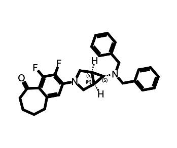 O=C1CCCCc2cc(N3C[C@@H]4[C@H](C3)[C@H]4N(Cc3ccccc3)Cc3ccccc3)c(F)c(F)c21